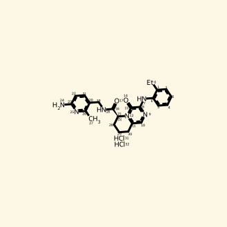 CCc1ccccc1Nc1ncc2n(c1=O)[C@H](C(=O)NCc1ccc(N)nc1C)CCC2.Cl.Cl